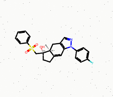 C[C@]12Cc3cnn(-c4ccc(F)cc4)c3C=C1CC[C@@]2(O)CS(=O)(=O)c1ccccc1